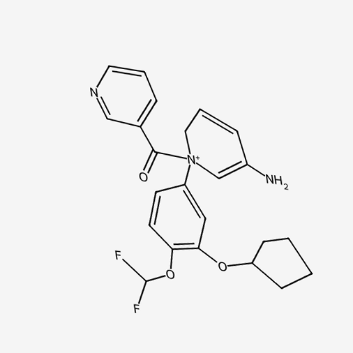 NC1=C[N+](C(=O)c2cccnc2)(c2ccc(OC(F)F)c(OC3CCCC3)c2)CC=C1